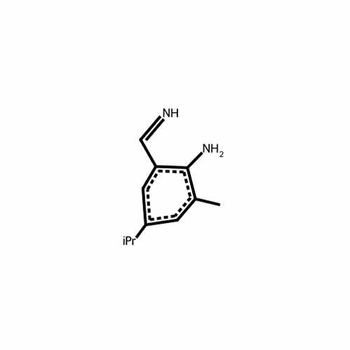 Cc1cc(C(C)C)cc(C=N)c1N